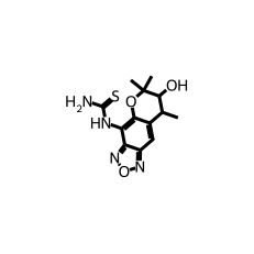 CC1c2cc3nonc3c(NC(N)=S)c2OC(C)(C)C1O